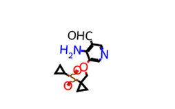 Nc1c(C=O)cncc1OCC1(S(=O)(=O)C2CC2)CC1